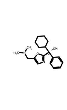 CN(C)Cc1cnc([C@](O)(c2ccccc2)C2CCCCC2)o1